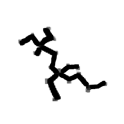 CC[N+](C)(CC)CC[N+](CC)(CC)CCOC